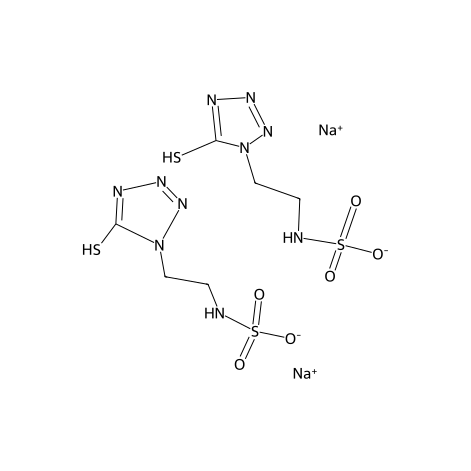 O=S(=O)([O-])NCCn1nnnc1S.O=S(=O)([O-])NCCn1nnnc1S.[Na+].[Na+]